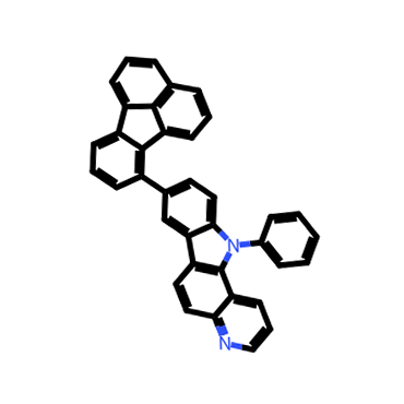 c1ccc(-n2c3ccc(-c4cccc5c4-c4cccc6cccc-5c46)cc3c3ccc4ncccc4c32)cc1